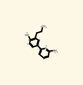 CCCc1cc(-c2cccc(N)n2)ccc1O